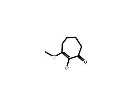 COC1=C(Br)C(=O)CCCC1